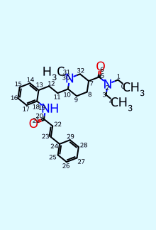 CCN(CC)C(=O)C1CCC(CCc2ccccc2NC(=O)C=Cc2ccccc2)N(C)C1